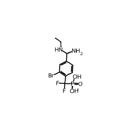 CCNC(N)c1ccc(C(F)(F)P(=O)(O)O)c(Br)c1